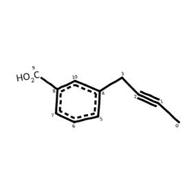 CC#CCc1cccc(C(=O)O)c1